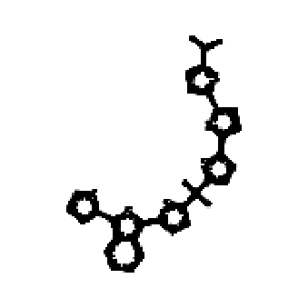 CC(C)c1ccc(-c2ccc(-c3ccc(C(C)(C)c4ccc(-c5sc(-c6cccs6)c6ccccc56)s4)s3)s2)s1